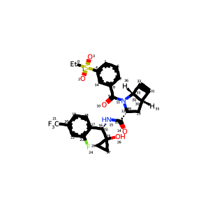 CCS(=O)(=O)c1cccc(C(=O)N2[C@@H](C(=O)N[C@@H](c3ccc(C(F)(F)F)cc3F)C3(O)CC3)C[C@H]3C#C[C@H]32)c1